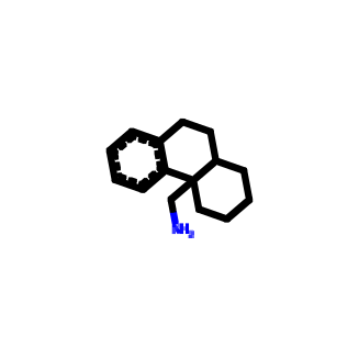 NCC12CCCCC1CCc1ccccc12